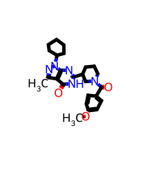 COc1ccc(C(=O)N2CCCC(c3nc4c(c(C)nn4C4CCCCC4)c(=O)[nH]3)C2)cc1